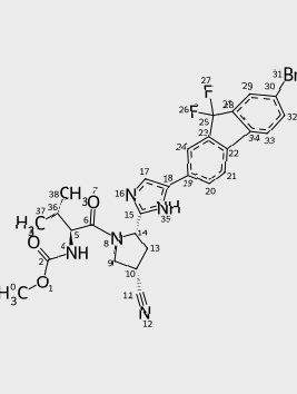 COC(=O)N[C@H](C(=O)N1C[C@@H](C#N)C[C@H]1c1ncc(-c2ccc3c(c2)C(F)(F)c2cc(Br)ccc2-3)[nH]1)C(C)C